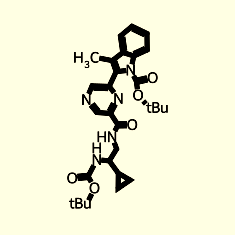 Cc1c(-c2cncc(C(=O)NCC(NC(=O)OC(C)(C)C)C3CC3)n2)n(C(=O)OC(C)(C)C)c2ccccc12